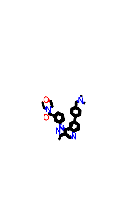 Cc1nn(-c2cccc(C(=O)N3CCOCC3)c2)c2c1cnc1ccc(-c3ccc(CN(C)C)cc3)cc12